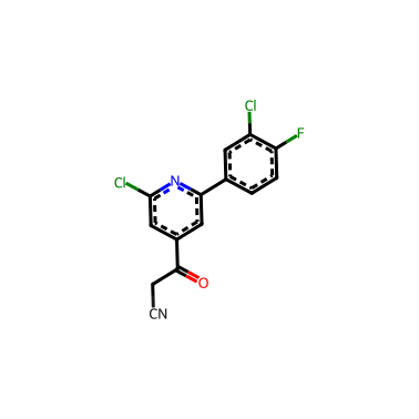 N#CCC(=O)c1cc(Cl)nc(-c2ccc(F)c(Cl)c2)c1